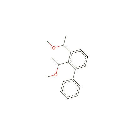 COC(C)c1cccc(-c2ccccc2)c1C(C)OC